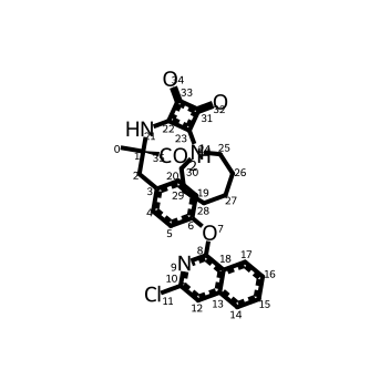 C[C@@](Cc1ccc(Oc2nc(Cl)cc3ccccc23)cc1)(Nc1c(N2CCCCCC2)c(=O)c1=O)C(=O)O